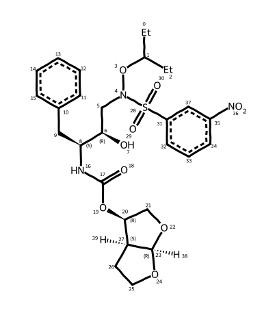 CCC(CC)ON(C[C@@H](O)[C@H](Cc1ccccc1)NC(=O)O[C@H]1CO[C@H]2OCC[C@H]21)S(=O)(=O)c1cccc([N+](=O)[O-])c1